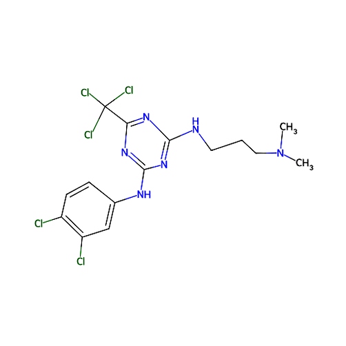 CN(C)CCCNc1nc(Nc2ccc(Cl)c(Cl)c2)nc(C(Cl)(Cl)Cl)n1